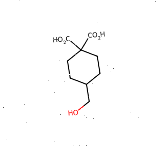 O=C(O)C1(C(=O)O)CCC(CO)CC1